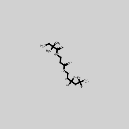 CCC(C)(C)C(=O)NCCC(=O)OCCC(F)(F)CC(C)(F)F